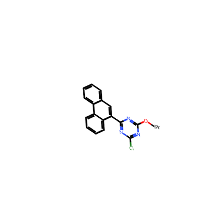 CC(C)Oc1nc(Cl)nc(-c2cc3ccccc3c3ccccc23)n1